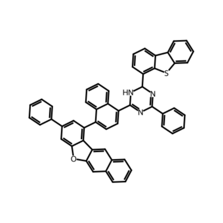 c1ccc(C2=NC(c3cccc4c3sc3ccccc34)NC(c3ccc(-c4cc(-c5ccccc5)cc5oc6cc7ccccc7cc6c45)c4ccccc34)=N2)cc1